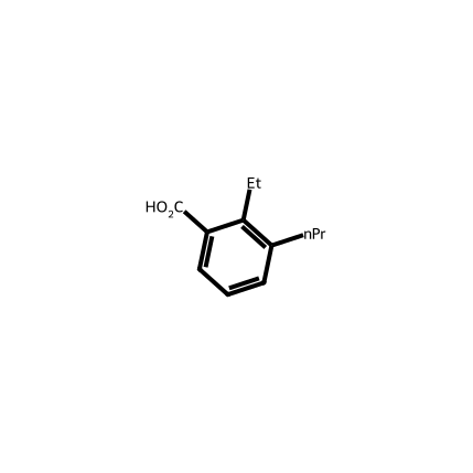 CCCc1cccc(C(=O)O)c1CC